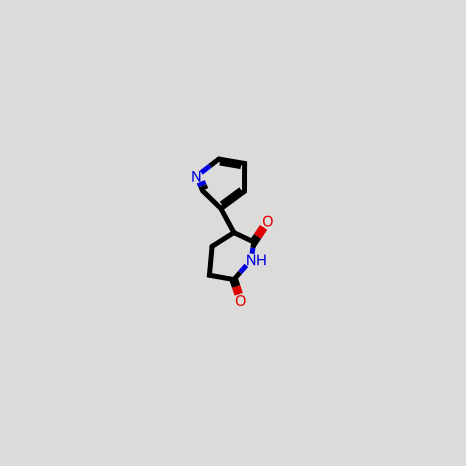 O=C1CCC(c2cccnc2)C(=O)N1